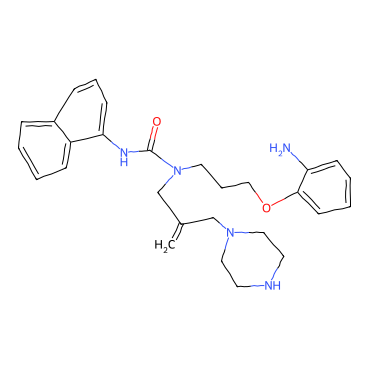 C=C(CN1CCNCC1)CN(CCCOc1ccccc1N)C(=O)Nc1cccc2ccccc12